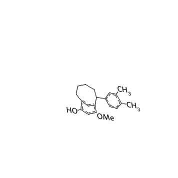 COc1cc(O)c2cc1C(c1ccc(C)c(C)c1)CCCC2